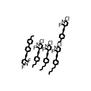 CCCCCc1ccc(C#Cc2ccc(Cl)nc2F)cc1.CCCCc1ccc(C#Cc2ccc(Cl)nc2F)cc1.CCCc1ccc(C#Cc2ccc(Cl)nc2F)cc1.CCc1ccc(-c2ccc(C#Cc3ccc(F)nc3F)cc2)cc1.CCc1ccc(C#Cc2ccc(Cl)nc2F)cc1